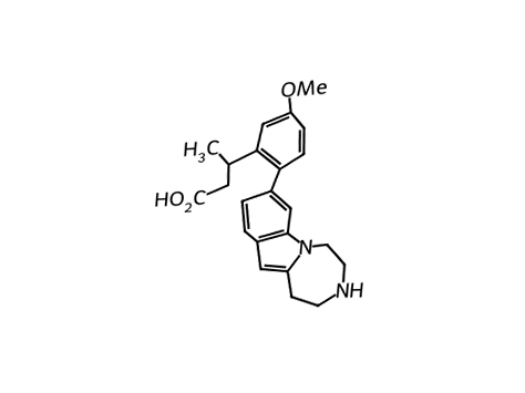 COc1ccc(-c2ccc3cc4n(c3c2)CCNCC4)c(C(C)CC(=O)O)c1